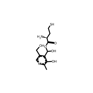 Cc1ncc(CO)c(C(O)OC(=O)[C@@H](N)CCS)c1O